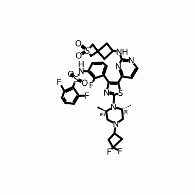 C[C@@H]1CN(C2CC(F)(F)C2)C[C@@H](C)N1c1nc(-c2cccc(NS(=O)(=O)c3c(F)cccc3F)c2F)c(-c2ccnc(NC3CC4(C3)CS(=O)(=O)C4)n2)s1